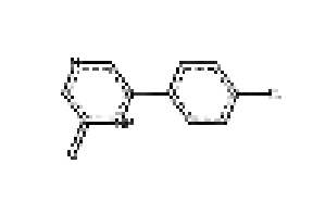 O=c1cncc(-c2ccc(Cl)cc2)[nH]1